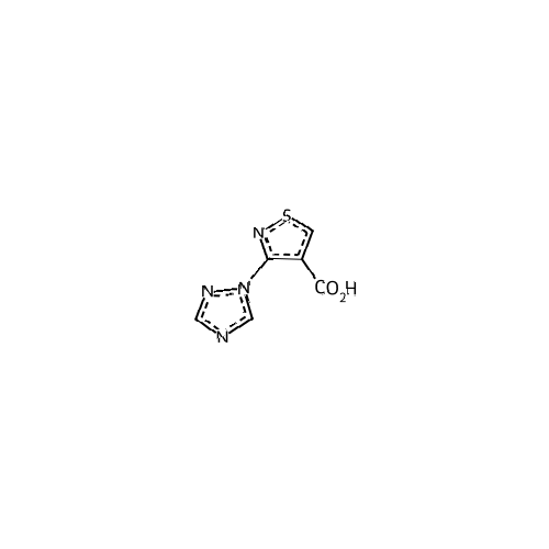 O=C(O)c1csnc1-n1cncn1